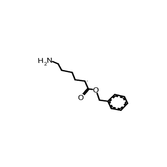 NCCCC[CH]C(=O)OCc1ccccc1